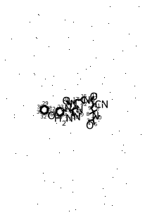 CN(C1COC1)C(C)(C)C=C(C#N)C(=O)N1CC(Cn2c(=O)n(-c3ccc(Oc4ccccc4)cc3)c3c(N)ncnc32)C1